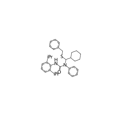 CC(C)c1cccc(C(C)C)c1NC(=O)N(c1ccccc1)C(SCc1ccccc1)C1CCCCC1